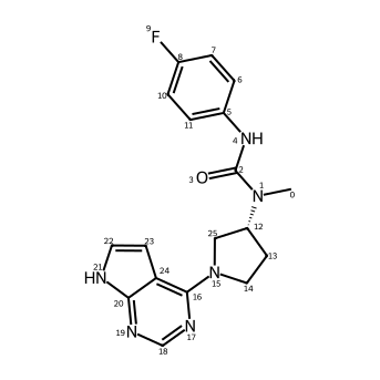 CN(C(=O)Nc1ccc(F)cc1)[C@@H]1CCN(c2ncnc3[nH]ccc23)C1